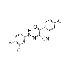 N#CC(=NNc1ccc(F)c(Cl)c1)C(=O)c1ccc(Cl)cc1